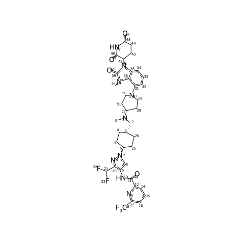 CN(C[C@H]1CC[C@H](n2cc(NC(=O)c3cccc(C(F)(F)F)n3)c(C(F)F)n2)CC1)C1CCN(c2cccc3c2n(C)c(=O)n3C2CCC(=O)NC2=O)CC1